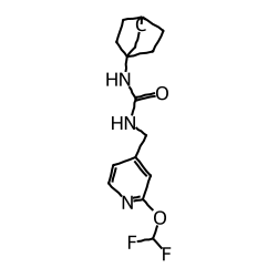 O=C(NCc1ccnc(OC(F)F)c1)NC12CCC(CC1)CC2